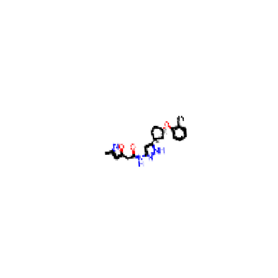 Cc1cc(CC(=O)Nc2cc([C@H]3CC[C@@H](Oc4ccccc4C(C)C)C3)[nH]n2)on1